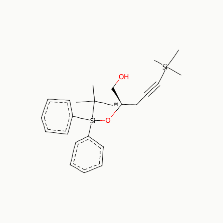 CC(C)(C)[Si](O[C@@H](CO)CC#C[Si](C)(C)C)(c1ccccc1)c1ccccc1